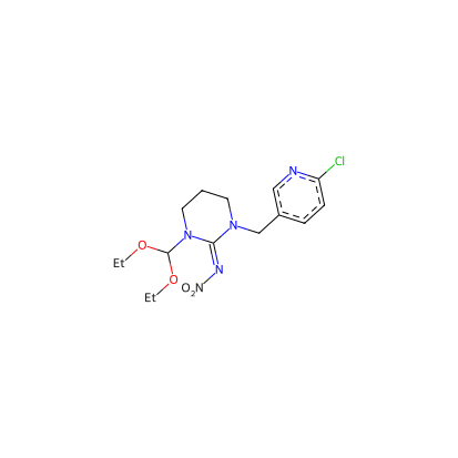 CCOC(OCC)N1CCCN(Cc2ccc(Cl)nc2)/C1=N/[N+](=O)[O-]